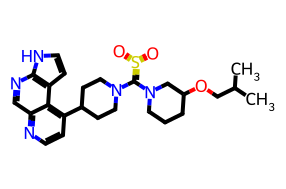 CC(C)COC1CCCN(C(N2CCC(c3ccnc4cnc5[nH]ccc5c34)CC2)=S(=O)=O)C1